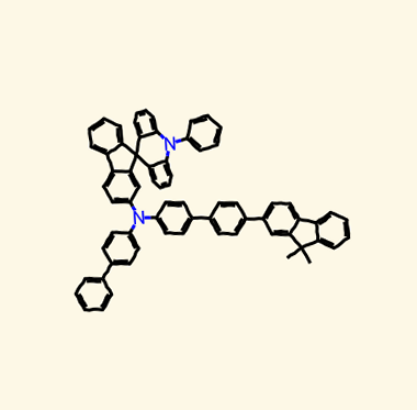 CC1(C)c2ccccc2-c2ccc(-c3ccc(-c4ccc(N(c5ccc(-c6ccccc6)cc5)c5ccc6c(c5)C5(c7ccccc7-6)c6ccccc6N(c6ccccc6)c6ccccc65)cc4)cc3)cc21